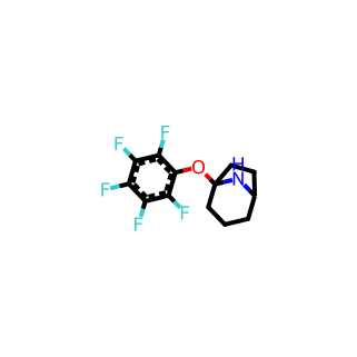 Fc1c(F)c(F)c(OC23CCCC(CC2)N3)c(F)c1F